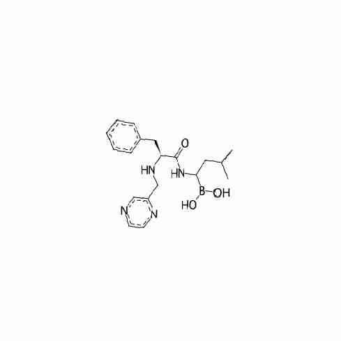 CC(C)CC(NC(=O)[C@H](Cc1ccccc1)NCc1cnccn1)B(O)O